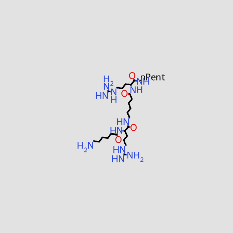 CCCCCNC(=O)C(CCCNC(=N)N)NC(=O)CCCCCNC(=O)C(CCCNC(=N)N)NC(=O)CCCCCN